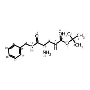 CC(C)(C)OC(=O)NC[C@H](N)C(=O)NCc1ccccc1